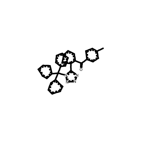 Cc1ccc(C(=O)c2ccccc2-c2nnnn2C(c2ccccc2)(c2ccccc2)c2ccccc2)cc1